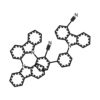 N#Cc1c(-c2cccc(-n3c4ccccc4c4c(C#N)cccc43)c2)cccc1-n1c2ccccc2c2cccc(-n3c4ccccc4c4ccccc43)c21